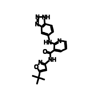 CC(C)(C)c1cc(NC(=O)c2cccnc2Nc2ccc3[nH]nnc3c2)no1